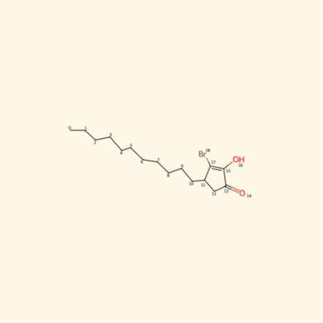 CCCCCCCCCCCC1CC(=O)C(O)=C1Br